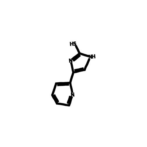 Sc1nc(-c2ccccn2)c[nH]1